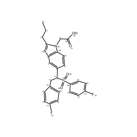 CCCc1nc2cc(N(Cc3ccc(F)cc3)S(=O)(=O)c3ccc(F)cc3)ccc2n1CC(=O)O